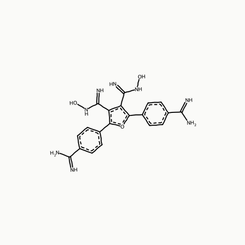 N=C(N)c1ccc(-c2oc(-c3ccc(C(=N)N)cc3)c(C(=N)NO)c2C(=N)NO)cc1